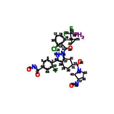 O=NC(=O)c1ccc(-c2nn(C(=O)c3c(Cl)cccc3C3(C(F)(F)P)CC3)c3c2CCC(C(=O)N2CC[C@@H](N=O)C2)C3)c(F)c1